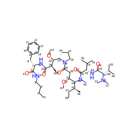 CCCCNC(=O)[C@H](Cc1ccccc1)NC(=O)[C@H](C)[C@@H](OC)[C@@H]1CCCN1C(=O)CC(OC)C([C@@H](C)CC)N(C)C(=O)[C@@H](NC(=O)[C@H](C(C)C)N(C)C)C(C)C